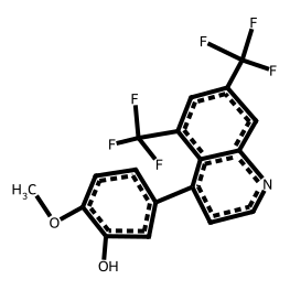 COc1ccc(-c2ccnc3cc(C(F)(F)F)cc(C(F)(F)F)c23)cc1O